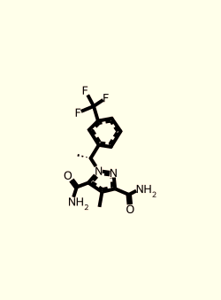 Cc1c(C(N)=O)nn([C@H](C)c2cccc(C(F)(F)F)c2)c1C(N)=O